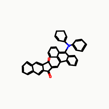 O=C1C(=Cc2c3ccccc3c(N(C3=CCCC=C3)c3ccccc3)c3ccccc23)C(=O)c2cc3ccccc3cc21